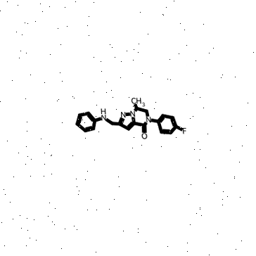 CC1CN(c2ccc(F)cc2)C(=O)c2cc(CNc3ccccc3)nn21